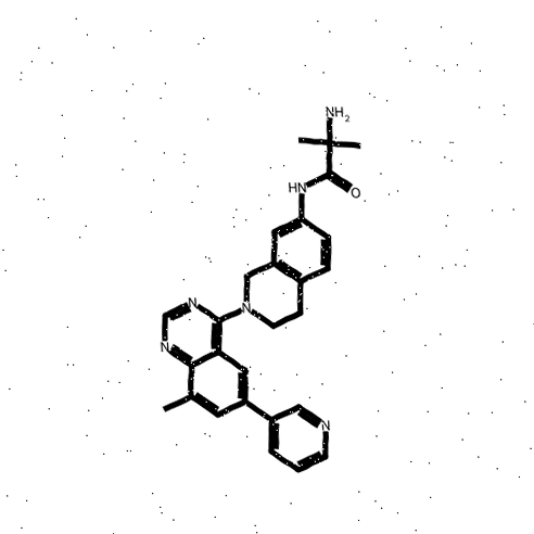 Cc1cc(-c2cccnc2)cc2c(N3CCc4ccc(NC(=O)C(C)(C)N)cc4C3)ncnc12